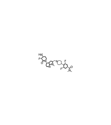 CNc1ccn(-c2ccnc3c2cc(CN2CCC(c4c(F)cc(C(=O)N(C)C)cc4F)CC2)n3C)c(=O)c1F